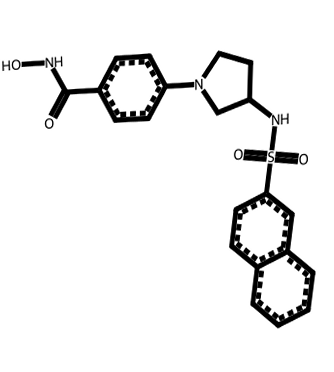 O=C(NO)c1ccc(N2CCC(NS(=O)(=O)c3ccc4ccccc4c3)C2)cc1